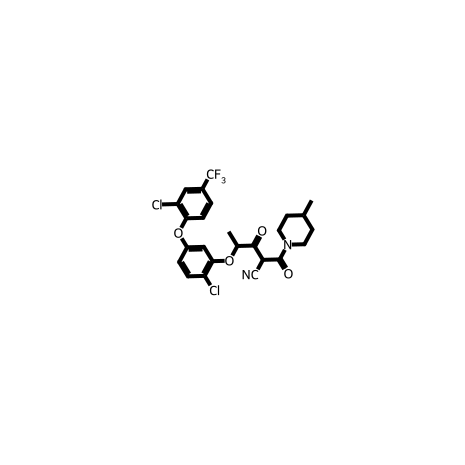 CC1CCN(C(=O)C(C#N)C(=O)C(C)Oc2cc(Oc3ccc(C(F)(F)F)cc3Cl)ccc2Cl)CC1